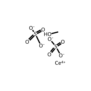 CO.O=S(=O)([O-])[O-].O=S(=O)([O-])[O-].[Ce+4]